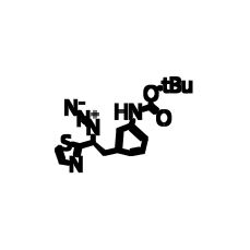 CC(C)(C)OC(=O)Nc1cccc(C[C@H](N=[N+]=[N-])c2nccs2)c1